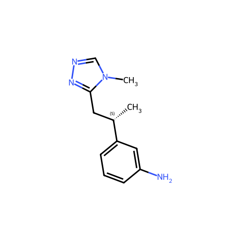 C[C@@H](Cc1nncn1C)c1cccc(N)c1